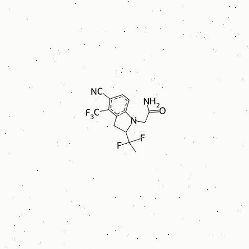 CC(F)(F)C1Cc2c(ccc(C#N)c2C(F)(F)F)N1CC(N)=O